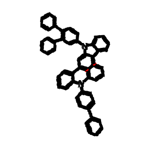 c1ccc(-c2ccc(N(c3ccccc3)c3ccccc3-c3ccc4c5ccccc5n(-c5ccc(-c6ccccc6)c(-c6ccccc6)c5)c4c3)cc2)cc1